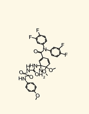 COc1ccc(NS(=O)(=O)NC(=O)NC2(N)C=C(C(=O)N(c3ccc(F)c(F)c3)c3ccc(F)c(F)c3)C=CC2(OC)OC)cc1